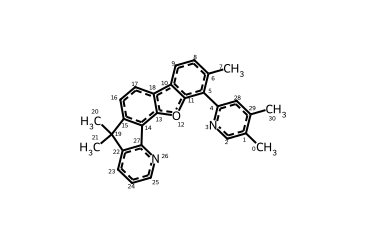 Cc1cnc(-c2c(C)ccc3c2oc2c4c(ccc23)C(C)(C)c2cccnc2-4)cc1C